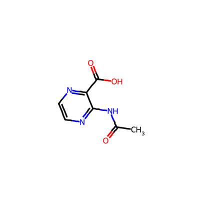 CC(=O)Nc1nccnc1C(=O)O